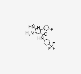 CNc1nc(N2CC[C@@H](F)C2)c(C(=O)N[C@H]2CC[C@H](C(F)(F)F)CC2)cc1N